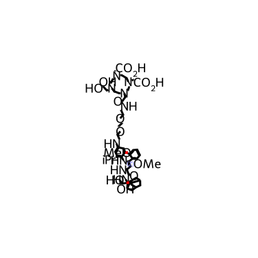 COc1cccc(OC)c1/C(=C/C(=N)C(=O)NC1(C(O)O)C2CC3CC(C2)CC1C3)Nc1ccc(NCCOCCOCCNC(=O)CN2CCN(CC(=O)O)CCN(CC(=O)O)CCN(CC(O)O)CC2)cc1C(C)C